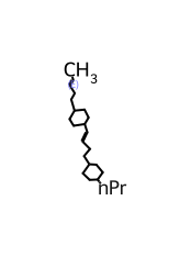 C/C=C/CCC1CCC(C=CCCC2CCC(CCC)CC2)CC1